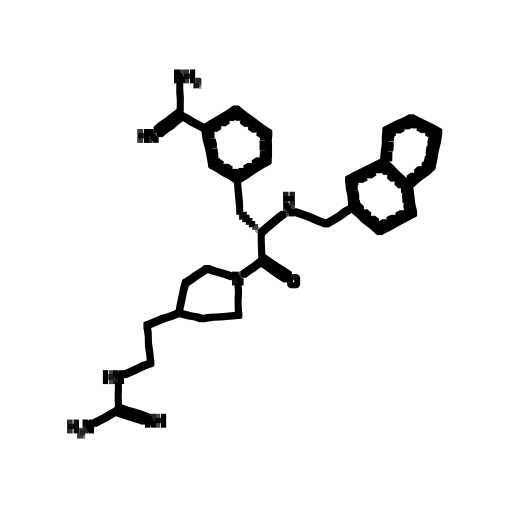 N=C(N)NCCC1CCN(C(=O)[C@H](Cc2cccc(C(=N)N)c2)NCc2ccc3ccccc3c2)CC1